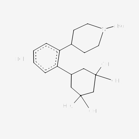 CCCCN1CCC(c2ccccc2C2CC(C)(C)CC(C)(C)C2)CC1.Cl